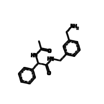 CC(=O)NC(C(=O)NCc1cccc(CN)c1)c1ccccc1